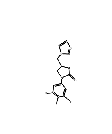 O=C1OC(Cn2ccnn2)CN1c1cc(F)c(I)c(F)c1